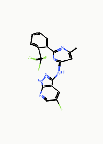 Cc1cc(Nc2n[nH]c3ncc(F)cc23)nc(-c2ccccc2C(F)(F)F)n1